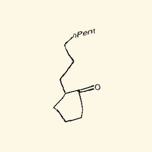 CCCCCCCCC1CCCC1=O